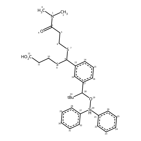 CN(C)C(=O)CCSC(SCCC(=O)O)c1cccc(C(O[SiH](c2ccccc2)c2ccccc2)C(C)(C)C)c1